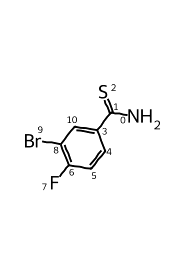 NC(=S)c1ccc(F)c(Br)c1